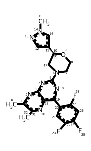 Cc1nc2nc(N3CCO[C@H](c4cnn(C)c4)C3)nc(-c3cc(F)c(F)cc3F)c2nc1C